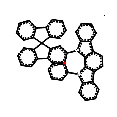 c1ccc(-n2c3ccccc3c3ccc4c5ccccc5n(-c5ccc6c(c5)C5(c7ccccc7-c7ccccc75)c5ccccc5-6)c4c32)cc1